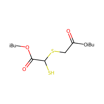 CCC(C)OC(=O)C(S)SCC(=O)OCC(C)C